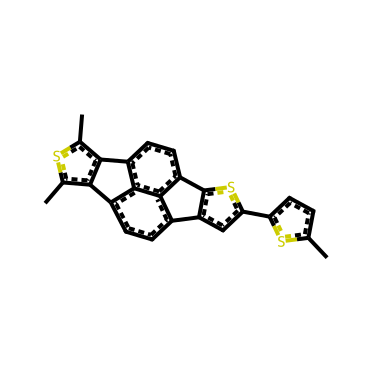 Cc1ccc(-c2cc3c(s2)-c2ccc4c5c(ccc-3c25)-c2c(C)sc(C)c2-4)s1